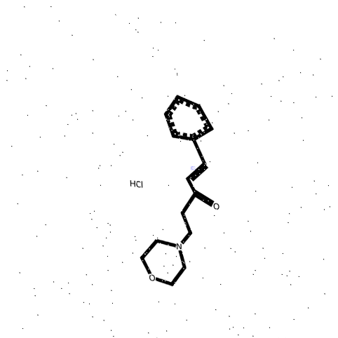 Cl.O=C(/C=C/c1ccccc1)CCN1CCOCC1